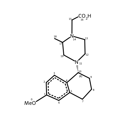 COc1ccc2c(c1)CCC[C@H]2N1CCN(CC(=O)O)C(C)C1